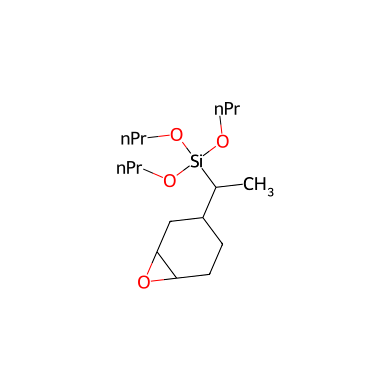 CCCO[Si](OCCC)(OCCC)C(C)C1CCC2OC2C1